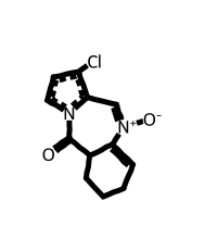 O=C1C2CCCC=C2[N+]([O-])=Cc2c(Cl)ccn21